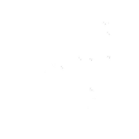 c1cc(-c2ncc3c(N4CC5CCC(C4)O5)cc(N4CC5CC(C4)O5)nn23)n[nH]1